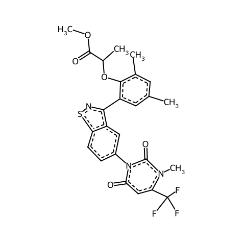 COC(=O)C(C)Oc1c(C)cc(C)cc1-c1nsc2ccc(-n3c(=O)cc(C(F)(F)F)n(C)c3=O)cc12